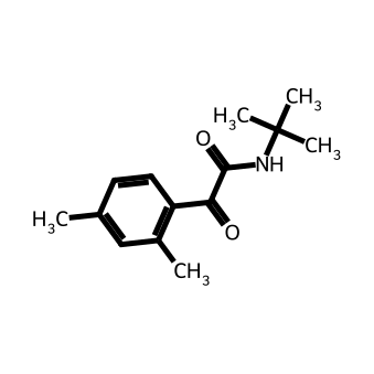 Cc1ccc(C(=O)C(=O)NC(C)(C)C)c(C)c1